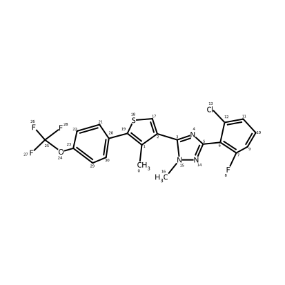 Cc1c(-c2nc(-c3c(F)cccc3Cl)nn2C)csc1-c1ccc(OC(F)(F)F)cc1